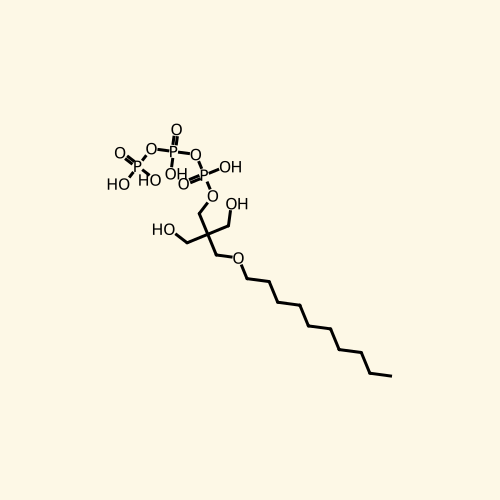 CCCCCCCCCCOCC(CO)(CO)COP(=O)(O)OP(=O)(O)OP(=O)(O)O